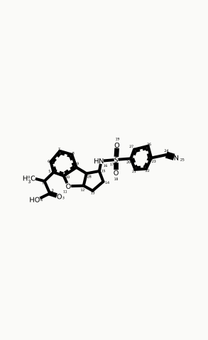 CC(C(=O)O)c1cccc2c1OC1CCC(NS(=O)(=O)c3ccc(C#N)cc3)C21